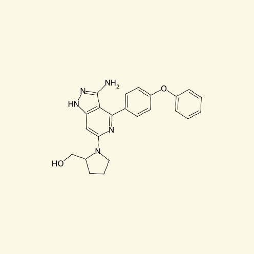 Nc1n[nH]c2cc(N3CCCC3CO)nc(-c3ccc(Oc4ccccc4)cc3)c12